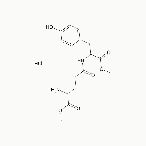 COC(=O)C(N)CCC(=O)NC(Cc1ccc(O)cc1)C(=O)OC.Cl